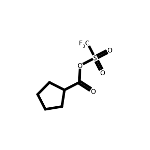 O=C(OS(=O)(=O)C(F)(F)F)C1CCCC1